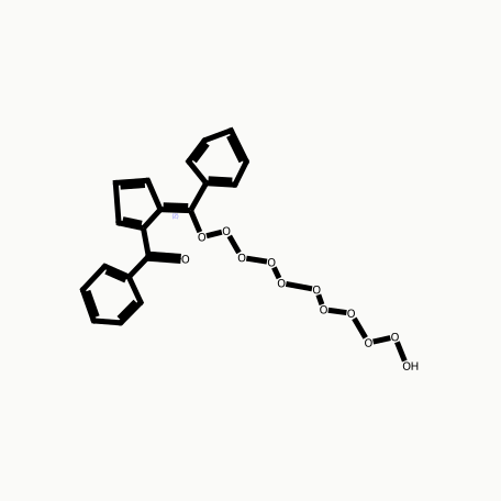 O=C(C1=CC=C/C1=C(/OOOOOOOOOOO)c1ccccc1)c1ccccc1